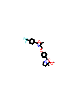 COC(=O)C1(C)CCCN1Cc1ccc(OCc2nc(-c3ccc(C(F)(F)F)cc3)oc2C)cc1